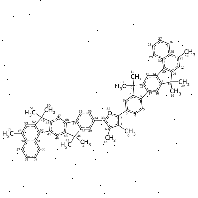 Cc1c(-c2ccc3c(c2)C(C)(C)c2cc4c(cc2-3)C(C)(C)c2cc(C)c3ccccc3c2-4)oc(-c2ccc3c(c2)C(C)(C)c2cc4c(cc2-3)C(C)(C)c2cc(C)c3ccccc3c2-4)c1C